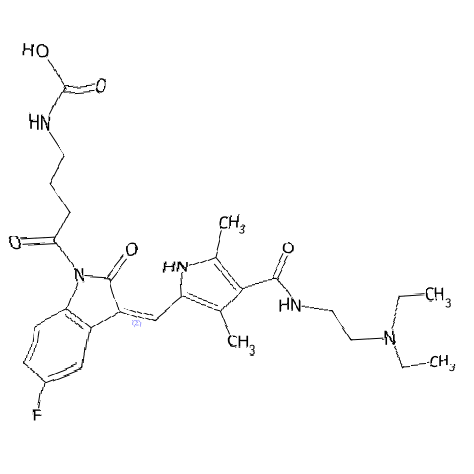 CCN(CC)CCNC(=O)c1c(C)[nH]c(/C=C2\C(=O)N(C(=O)CCCNC(=O)O)c3ccc(F)cc32)c1C